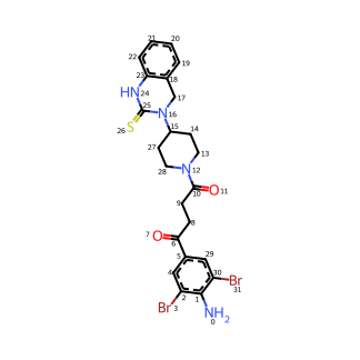 Nc1c(Br)cc(C(=O)CCC(=O)N2CCC(N3Cc4ccccc4NC3=S)CC2)cc1Br